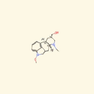 COn1cc2c3c(cccc31)[C@H]1C[C@@H](CO)CN(C)[C@@H]1C2